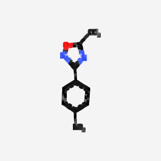 O=[N+]([O-])c1ccc(-c2noc(C(Cl)(Cl)Cl)n2)cc1